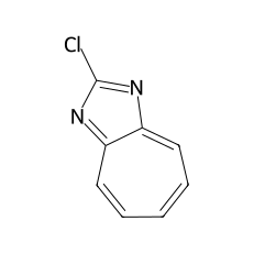 Clc1nc2cccccc-2n1